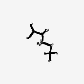 CC(C)C(Cl)[SiH2]OC(C)(C)C